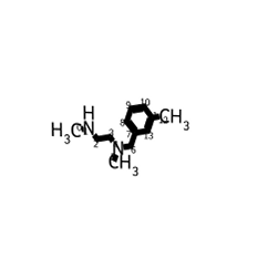 CNCCN(C)Cc1cccc(C)c1